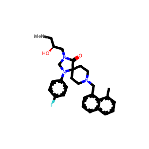 CNC[C@H](O)CN1CN(c2ccc(F)cc2)C2(CCN(Cc3cccc4cccc(C)c34)CC2)C1=O